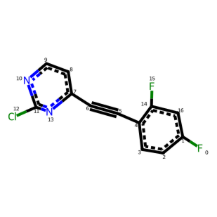 Fc1ccc(C#Cc2ccnc(Cl)n2)c(F)c1